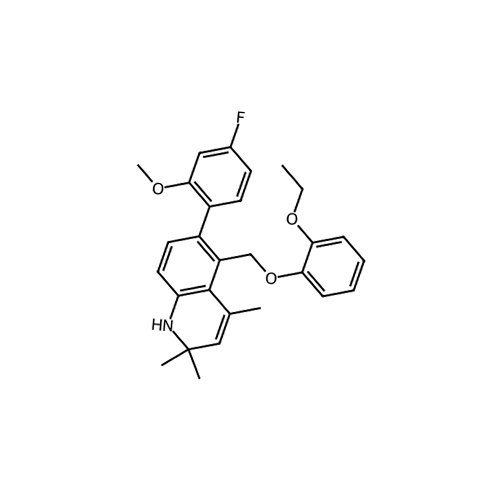 CCOc1ccccc1OCc1c(-c2ccc(F)cc2OC)ccc2c1C(C)=CC(C)(C)N2